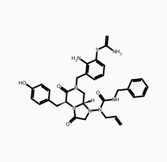 C=CCN(C(=O)NCc1ccccc1)N1CC(=O)N2[C@@H](Cc3ccc(O)cc3)C(=O)N(Cc3cccc(SC(=C)N)c3N)C[C@@H]21